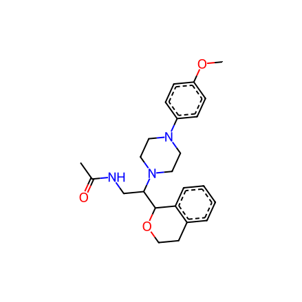 COc1ccc(N2CCN(C(CNC(C)=O)C3OCCc4ccccc43)CC2)cc1